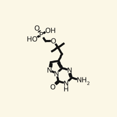 CC(C)(Cc1cnn2c(=O)[nH]c(N)nc12)OCP(=O)(O)O